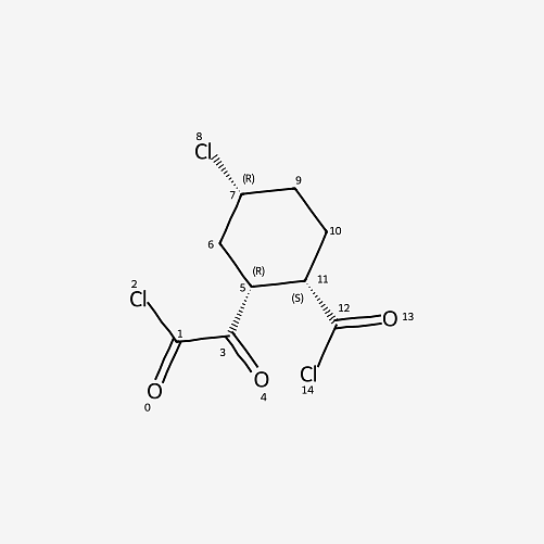 O=C(Cl)C(=O)[C@@H]1C[C@H](Cl)CC[C@@H]1C(=O)Cl